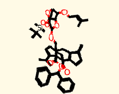 CC(C)=CCOC1C2OC3(OCC45CC6C(C)CCC6C6(C=O)CC4C=C(C(C)C)C65C(=O)OC(c4ccccc4)c4ccccc4)OC2OC1C3O[Si](C)(C)C(C)(C)C